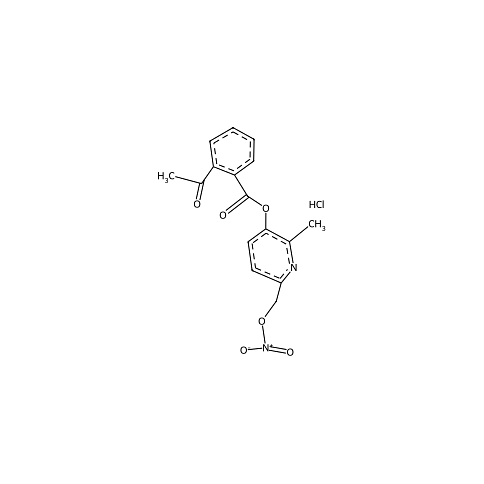 CC(=O)c1ccccc1C(=O)Oc1ccc(CO[N+](=O)[O-])nc1C.Cl